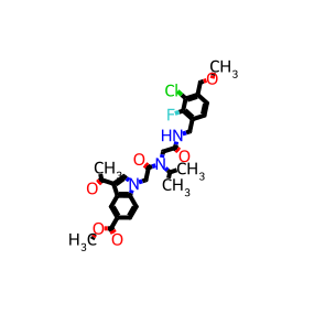 COCc1ccc(CNC(=O)CN(C(=O)Cn2cc(C(C)=O)c3cc(C(=O)OC)ccc32)C(C)C)c(F)c1Cl